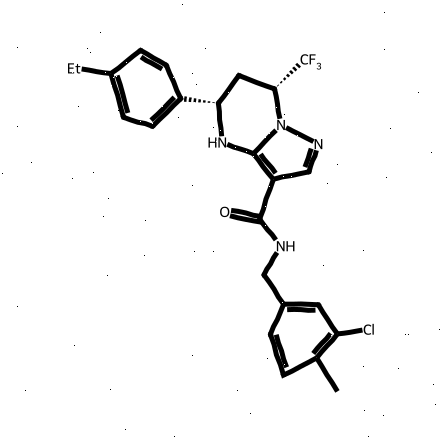 CCc1ccc([C@@H]2C[C@H](C(F)(F)F)n3ncc(C(=O)NCc4ccc(C)c(Cl)c4)c3N2)cc1